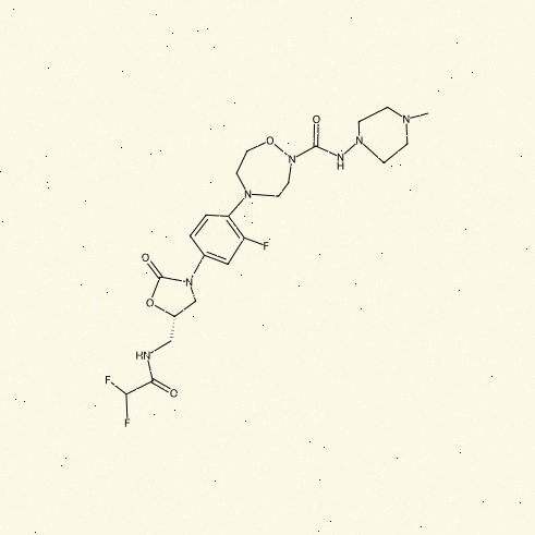 CN1CCN(NC(=O)N2CCN(c3ccc(N4C[C@H](CNC(=O)C(F)F)OC4=O)cc3F)CCO2)CC1